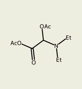 CCN(CC)C(OC(C)=O)C(=O)OC(C)=O